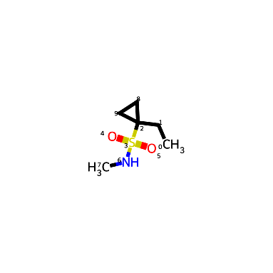 CCC1(S(=O)(=O)NC)CC1